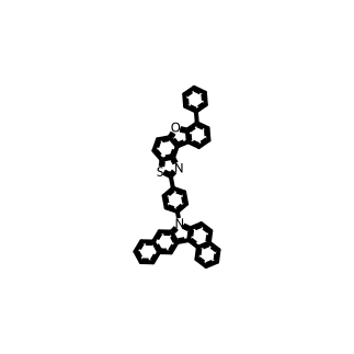 c1ccc(-c2cccc3c2oc2ccc4sc(-c5ccc(-n6c7cc8ccccc8cc7c7c8ccccc8ccc76)cc5)nc4c23)cc1